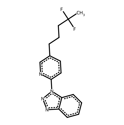 CC(F)(F)CCCc1ccc(-n2nnc3ccccc32)nc1